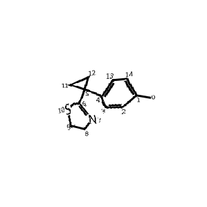 Cc1ccc(C2(C3=NCCS3)CC2)cc1